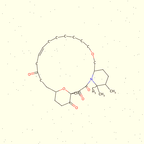 CC1CCC2COCCCCCCC=CCC(=O)CCC3CCC(=O)C(C)(O3)C(=O)C(=O)N2C1(C)C